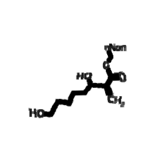 C=C(C(=O)OCCCCCCCCCC)C(O)CCCCCO